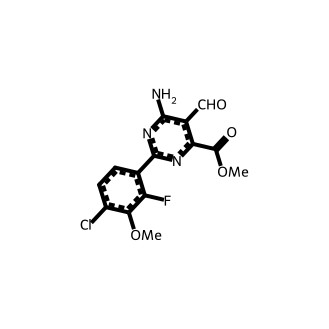 COC(=O)c1nc(-c2ccc(Cl)c(OC)c2F)nc(N)c1C=O